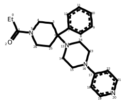 CCC(=O)N1CCC(c2ccccc2)(N2CCN(c3ccncc3)CC2)CC1